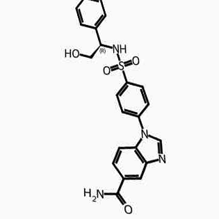 NC(=O)c1ccc2c(c1)ncn2-c1ccc(S(=O)(=O)N[C@@H](CO)c2ccccc2)cc1